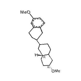 COc1ccc2c(c1)CCC(C1CCC3C[C@H](OC)CC[C@@H]3C1)C2